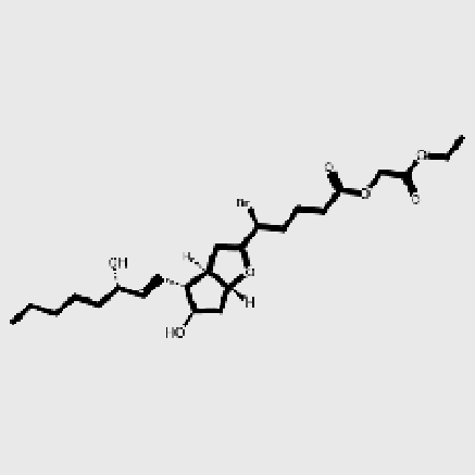 CCCCC[C@H](O)/C=C/[C@@H]1[C@H]2CC(C(Br)CCCC(=O)OCC(=O)OCC)O[C@@H]2C[C@H]1O